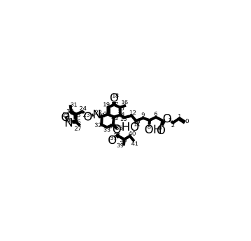 C=CCOC(=O)CC(O)CC(O)CCC1C(C)C(=O)C=C2/C(=N/OCc3c(C)noc3C)CCC(OC(=O)C(C)CC)C21